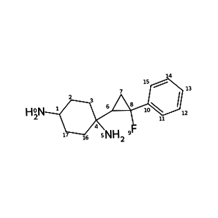 NC1CCC(N)(C2CC2(F)c2ccccc2)CC1